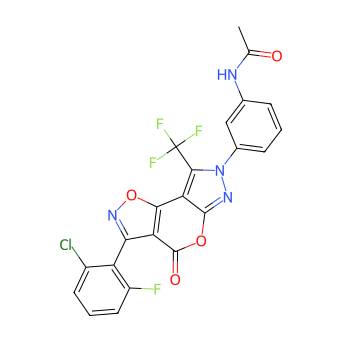 CC(=O)Nc1cccc(-n2nc3oc(=O)c4c(-c5c(F)cccc5Cl)noc4c3c2C(F)(F)F)c1